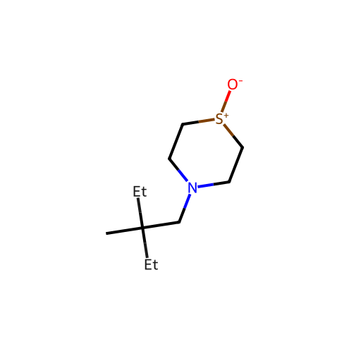 CCC(C)(CC)CN1CC[S+]([O-])CC1